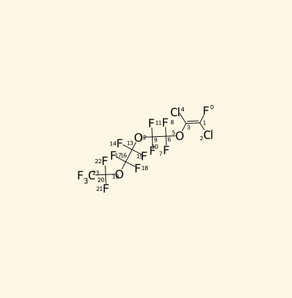 FC(Cl)=C(Cl)OC(F)(F)C(F)(F)OC(F)(F)C(F)(F)OC(F)(F)C(F)(F)F